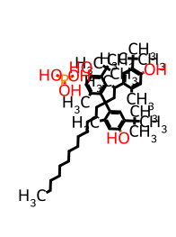 CCCCCCCCCCCCCC(CC(C)c1cc(C(C)(C)C)c(O)cc1C)(c1cc(C(C)(C)C)c(O)cc1C)c1cc(C(C)(C)C)c(O)cc1C.OP(O)O